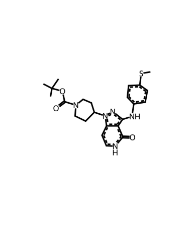 CSc1ccc(Nc2nn(C3CCN(C(=O)OC(C)(C)C)CC3)c3cc[nH]c(=O)c23)cc1